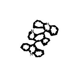 c1ccc2c(-c3c4ccccc4c(-c4c5ccccc5nc5ccccc45)c4ncccc34)c3ccccc3nc2c1